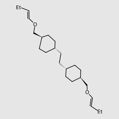 CCC=COC[C@H]1CC[C@H](CC[C@H]2CC[C@H](COC=CCC)CC2)CC1